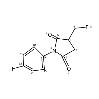 O=C1CC(CF)C(=O)N1c1ccc(I)cc1